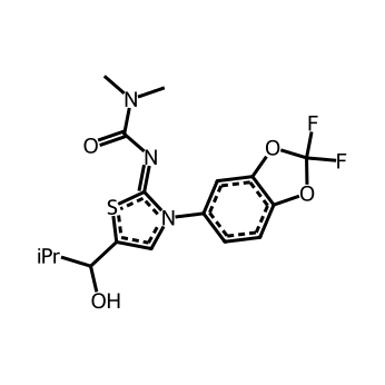 CC(C)C(O)c1cn(-c2ccc3c(c2)OC(F)(F)O3)/c(=N/C(=O)N(C)C)s1